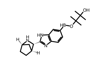 CC(C)(O)C(C)(C)OBc1ccc2nc([C@H]3N[C@@H]4CC[C@H]3C4)[nH]c2c1